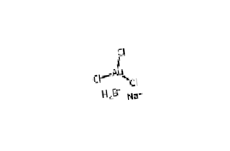 [BH4-].[Cl][Au]([Cl])[Cl].[Na+]